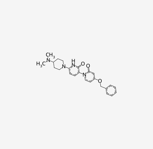 CN(C)C1CCN(c2ccc(-n3ccc(OCc4ccccc4)cc3=O)c(=O)[nH]2)CC1